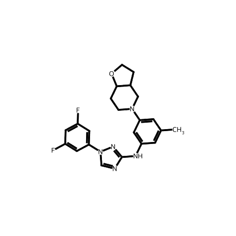 Cc1cc(Nc2ncn(-c3cc(F)cc(F)c3)n2)cc(N2CCC3OCCC3C2)c1